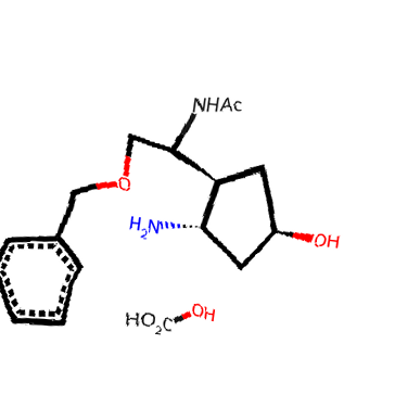 CC(=O)NC(COCc1ccccc1)[C@H]1C[C@@H](O)C[C@@H]1N.O=C(O)O